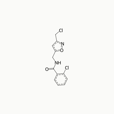 O=C(NCc1cc(CCl)no1)c1ccccc1Cl